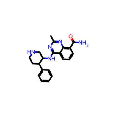 Cc1nc(NC2CNCCC2c2ccccc2)c2cccc(C(N)=O)c2n1